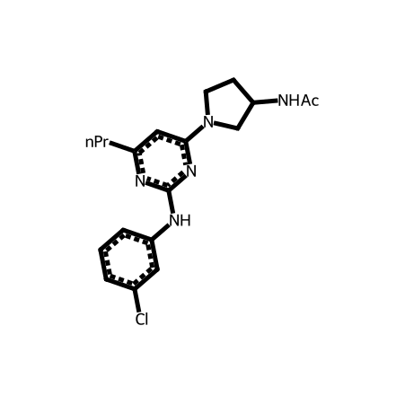 CCCc1cc(N2CCC(NC(C)=O)C2)nc(Nc2cccc(Cl)c2)n1